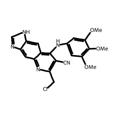 COc1cc(Nc2c(C#N)c(CCl)nc3cc4nc[nH]c4cc23)cc(OC)c1OC